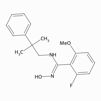 COc1cccc(F)c1/C(=N/O)NCC(C)(C)c1ccccc1